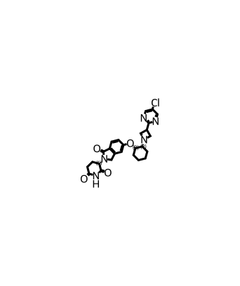 O=C1CC[C@H](N2Cc3cc(O[C@@H]4CCCC[C@H]4N4CC(c5ncc(Cl)cn5)C4)ccc3C2=O)C(=O)N1